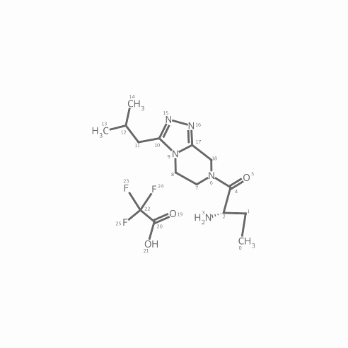 CC[C@H](N)C(=O)N1CCn2c(CC(C)C)nnc2C1.O=C(O)C(F)(F)F